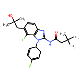 CC(C)(C)CC(=O)Nc1nc2ccc(CC(C)(C)O)c(F)c2n1C1C=CC(F)=CC1